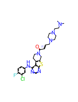 CN(C)CCN1CCN(C/C=C/C(=O)N2CCc3c(sc4ncnc(Nc5ccc(F)c(Cl)c5)c34)C2)CC1